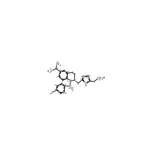 O=C(O)Cc1nnc(C[C@@H]2CCc3cc(C(C(F)(F)F)C(F)(F)F)ccc3N2[S+]([O-])c2ccc(F)cc2)o1